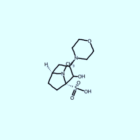 CN1[C@H]2CC[C@]1(S(=O)(=O)O)C(O)C(N1CCOCC1)C2